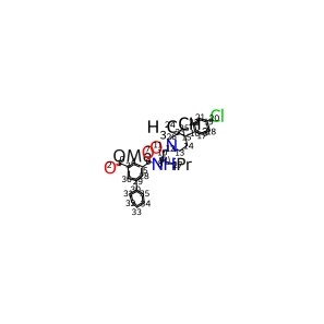 COC(=O)c1cc(C(=O)N[C@@H](C(=O)N2CCC(c3ccc(Cl)cc3)C(C)(C)C2)C(C)C)cc(-c2ccccc2)c1